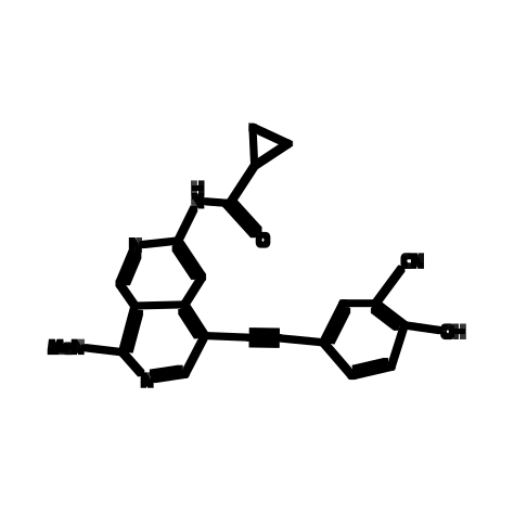 CNc1ncc(C#Cc2ccc(O)c(C#N)c2)c2cc(NC(=O)C3CC3)ncc12